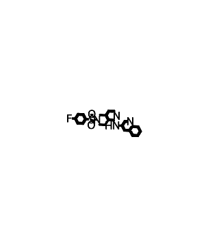 O=S(=O)(c1ccc(F)cc1)N1CCc2c(ccnc2Nc2cnc3ccccc3c2)C1